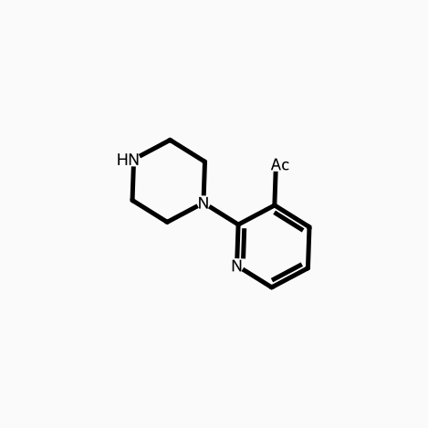 CC(=O)c1cccnc1N1CCNCC1